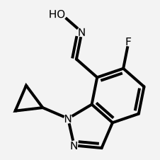 ON=Cc1c(F)ccc2cnn(C3CC3)c12